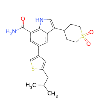 CC(C)Cc1cc(-c2cc(C(N)=O)c3[nH]cc(C4CCS(=O)(=O)CC4)c3c2)cs1